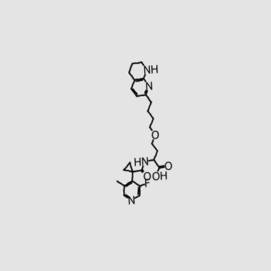 Cc1cncc(F)c1C1(C(=O)NC(CCOCCCCc2ccc3c(n2)NCCC3)C(=O)O)CC1